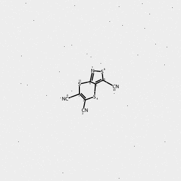 N#CC1=C(C#N)Sc2c(nsc2C#N)S1